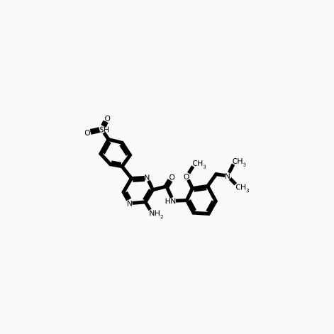 COc1c(CN(C)C)cccc1NC(=O)c1nc(-c2ccc([SH](=O)=O)cc2)cnc1N